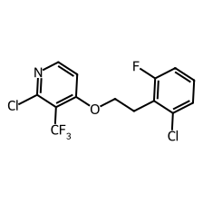 Fc1cccc(Cl)c1CCOc1ccnc(Cl)c1C(F)(F)F